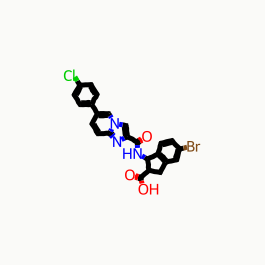 O=C(NC1c2ccc(Br)cc2CC1C(=O)O)c1cn2cc(-c3ccc(Cl)cc3)ccc2n1